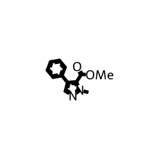 COC(=O)c1c(-c2ccccc2)cnn1C